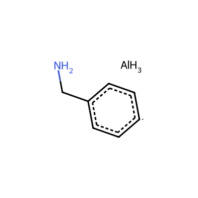 NCc1cc[c]cc1.[AlH3]